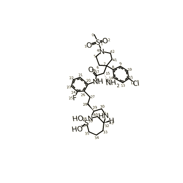 CS(=O)(=O)N1CCC(c2ccc(Cl)cc2)([C@H](N)C(=O)Nc2cccc(F)c2CC[C@H]2CN[C@@H]3CCCS(O)(O)N2C3)CC1